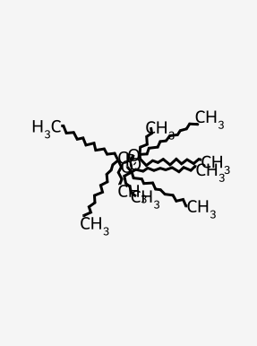 CCCCCCCCCCCCC(CCCCC)(CCCCCCCCCCCC)OP(=O)(OC(CCCCC)(CCCCCCCCCCCC)CCCCCCCCCCCC)OC(CCCCC)(CCCCCCCCCCCC)CCCCCCCCCCCC